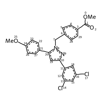 COC(=O)c1ccc(Cn2nc(-c3cc(Cl)cc(Cl)c3)cc2-c2ccc(OC)cc2)cc1